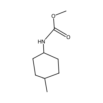 COC(=O)NC1CC[C](C)CC1